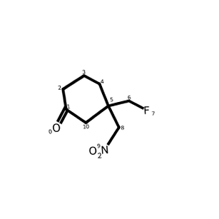 O=C1CCCC(CF)(C[N+](=O)[O-])C1